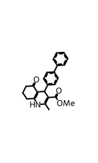 COC(=O)C1=C(C)NC2=C(C(=O)CCC2)C1c1ccc(-c2ccccc2)cc1